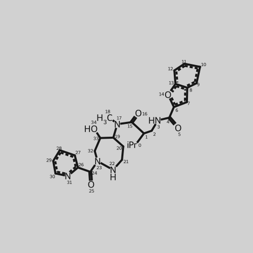 CC(C)C(CNC(=O)c1cc2ccccc2o1)C(=O)N(C)C1CCNN(C(=O)c2ccccn2)CC1O